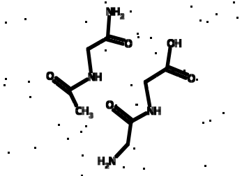 CC(=O)NCC(N)=O.NCC(=O)NCC(=O)O